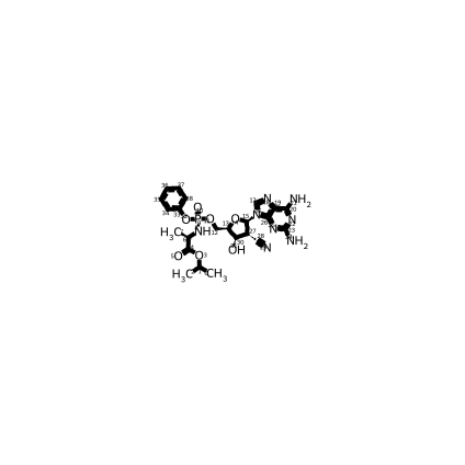 CC(C)OC(=O)[C@@H](C)N[P@@](=O)(OC[C@H]1O[C@@H](n2cnc3c(N)nc(N)nc32)[C@H](C#N)[C@@H]1O)Oc1ccccc1